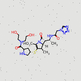 C[C@@H](NC(=O)Cn1cnnn1)[C@H]1C(=O)N2C(C(=O)O)=C(S[C@@H]3CNC(C(=O)N(CCO)CCO)C3)[C@H](C)[C@H]12